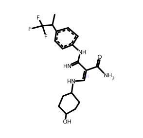 CC(c1ccc(NC(=N)/C(=C\NC2CCC(O)CC2)C(N)=O)cc1)C(F)(F)F